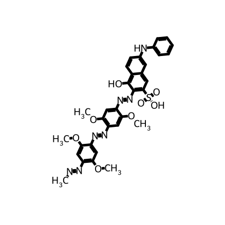 CN=Nc1cc(OC)c(N=Nc2cc(OC)c(N=Nc3c(S(=O)(=O)O)cc4cc(Nc5ccccc5)ccc4c3O)cc2OC)cc1OC